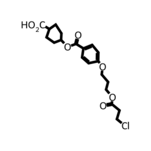 O=C(CCCl)OCCCOc1ccc(C(=O)OC2CCC(C(=O)O)CC2)cc1